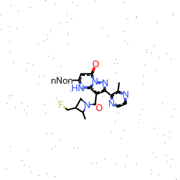 CCCCCCCCCc1cc(=O)n2nc(-c3nccnc3C)c(C(=O)N3CC(CF)C3C)c2[nH]1